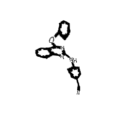 N#Cc1ccc(Nc2nc(Oc3ccccc3)c3ccccc3n2)cc1